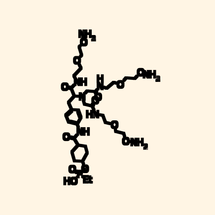 CCP(=O)(O)OC1CCC(C(=O)Nc2ccc(CC(C(=O)NCCOCCON)N(CC(=O)NCCOCCON)CC(=O)NCCOCCON)cc2)CC1